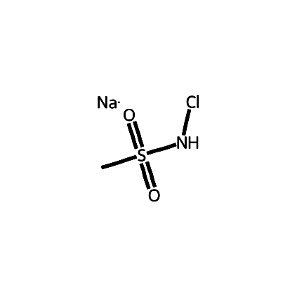 CS(=O)(=O)NCl.[Na]